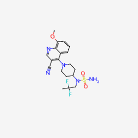 COc1cccc2c(N3CCC(N(CC(C)(F)F)S(N)(=O)=O)CC3)c(C#N)cnc12